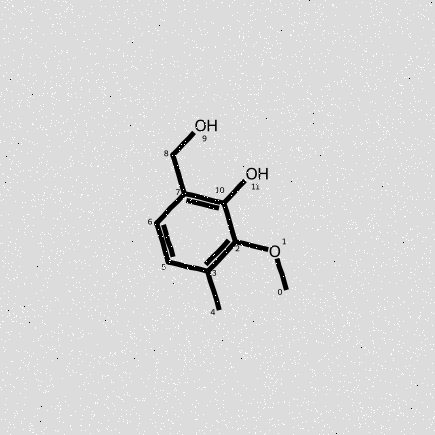 COc1c(C)ccc(CO)c1O